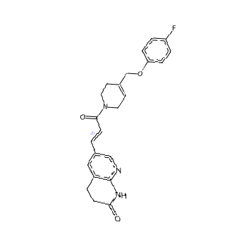 O=C1CCc2cc(/C=C/C(=O)N3CC=C(COc4ccc(F)cc4)CC3)cnc2N1